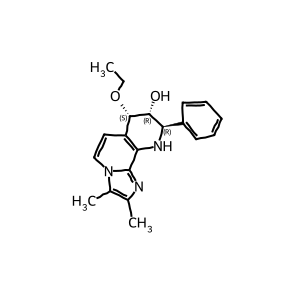 CCO[C@H]1c2ccn3c(C)c(C)nc3c2N[C@H](c2ccccc2)[C@H]1O